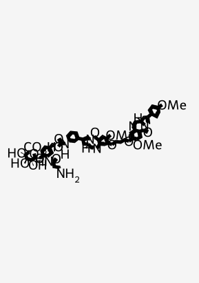 COc1ccc(C2=CN3C(=O)c4cc(OC)c(OCCCOc5cc6c(cc5OC)C(=O)N5C=C(c7cccc(NC(=O)OCc8ccc(O[C@@H]9O[C@H](C(=O)O)[C@@H](O)[C@H](O)[C@H]9O)c(NC(=O)CCN)c8)c7)C[C@H]5C=N6)cc4N=C[C@@H]3C2)cc1